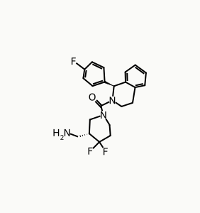 NC[C@@H]1CN(C(=O)N2CCc3ccccc3[C@@H]2c2ccc(F)cc2)CCC1(F)F